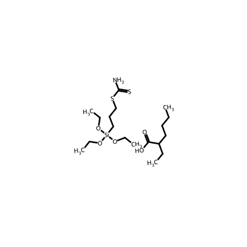 CCCCC(CC)C(=O)O.CCO[Si](CCCSC(N)=S)(OCC)OCC